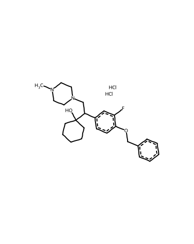 CN1CCN(CC(c2ccc(OCc3ccccc3)c(F)c2)C2(O)CCCCC2)CC1.Cl.Cl